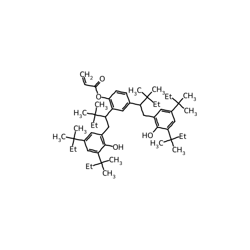 C=CC(=O)Oc1ccc(C(Cc2cc(C(C)(C)CC)cc(C(C)(C)CC)c2O)C(C)(C)CC)cc1C(Cc1cc(C(C)(C)CC)cc(C(C)(C)CC)c1O)C(C)(C)CC